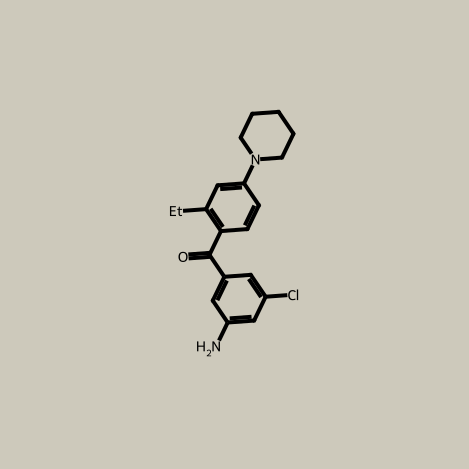 CCc1cc(N2CCCCC2)ccc1C(=O)c1cc(N)cc(Cl)c1